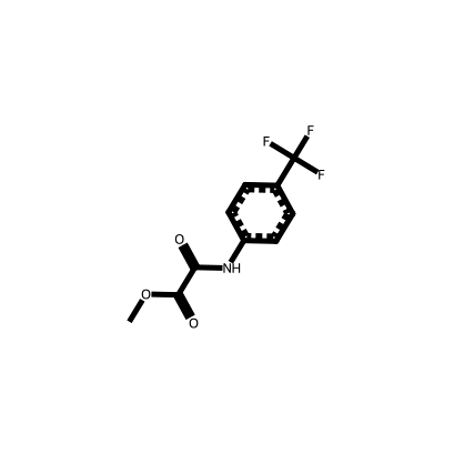 COC(=O)C(=O)Nc1ccc(C(F)(F)F)cc1